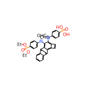 CCOP(=O)(OCC)c1ccc(N(C=O)c2c(N(C=O)c3ccc(P(=O)(O)O)cc3)c3c(c4c5ccc(c6ccccc65)c24)C=C3)cc1